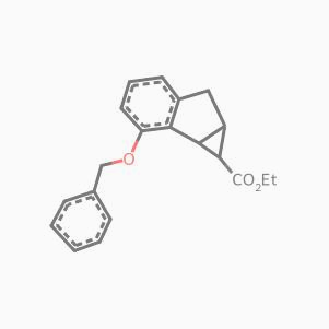 CCOC(=O)C1C2Cc3cccc(OCc4ccccc4)c3C21